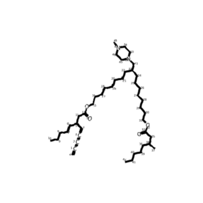 C=C=C=C=CC(CCCCC)CC(=O)OCCCCCCCCC(CCCCCCCCOC(=O)CC(C)CCCCC)CN1CCN(C)CC1